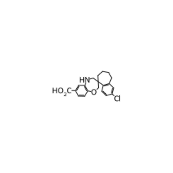 O=C(O)c1ccc2c(c1)NCC1(CCCCc3cc(Cl)ccc31)CO2